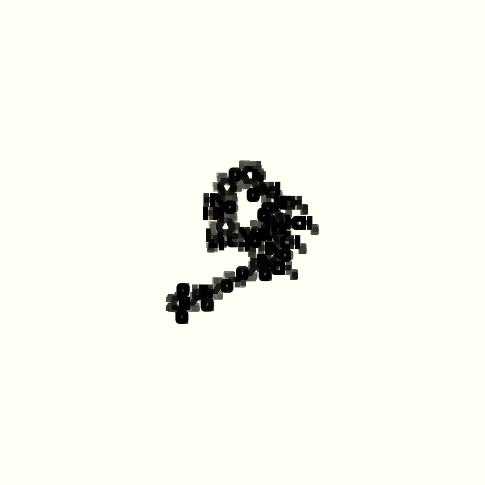 CC(C)CC(NC(=O)[C@@H](CC(N)=O)NC(=O)[C@@H](C)NC(=O)[C@@H](C)NC(=O)CCOCCOCCNC(=O)CCN1C(=O)C=CC1=O)C(=O)N(C)CCNC(=O)c1cc(Oc2ccc(NC(=O)Nc3ccc(Cl)c(C(F)(F)F)c3)cc2)ccn1